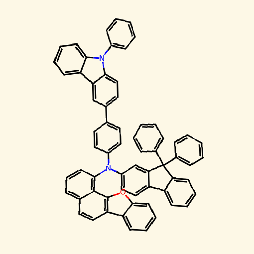 c1ccc(-n2c3ccccc3c3cc(-c4ccc(N(c5ccc6c(c5)C(c5ccccc5)(c5ccccc5)c5ccccc5-6)c5cccc6ccc7c8ccccc8oc7c56)cc4)ccc32)cc1